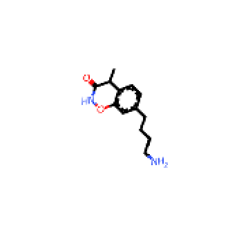 CC1C(=O)NOc2cc(CCCCN)ccc21